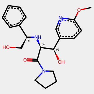 COc1ccc([C@@H](O)[C@H](N[C@@H](CO)c2ccccc2)C(=O)N2CCCC2)cn1